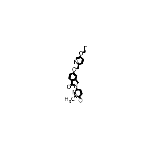 Cn1nc(N2Cc3cc(OCc4ccc(OCF)cn4)ccc3C2=O)ccc1=O